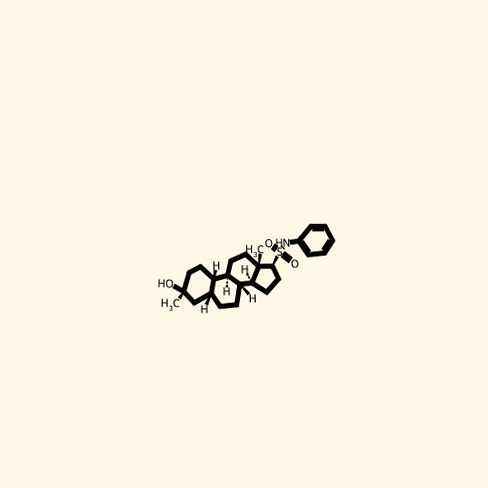 C[C@@]1(O)CC[C@H]2[C@H](CC[C@@H]3[C@@H]2CC[C@@]2(C)[C@H]3CC[C@@H]2S(=O)(=O)Nc2ccccc2)C1